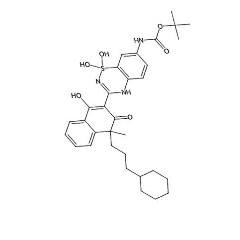 CC(C)(C)OC(=O)Nc1ccc2c(c1)S(O)(O)N=C(C1=C(O)c3ccccc3C(C)(CCCC3CCCCC3)C1=O)N2